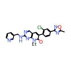 CCn1c(=O)c(-c2ccc(-c3noc(C)n3)cc2Cl)cc2cnc(NCc3cccnc3)nc21